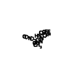 COc1nc2ncnc(N[C@H](C)c3cccc(C(F)(F)F)c3C)c2cc1C1CCN(C2CCOCC2)CC1